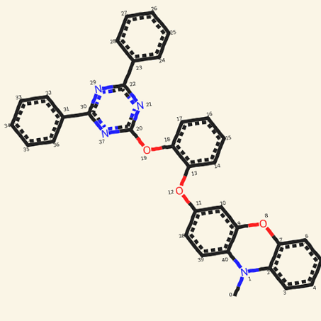 CN1c2ccccc2Oc2cc(Oc3ccccc3Oc3nc(-c4ccccc4)nc(-c4ccccc4)n3)ccc21